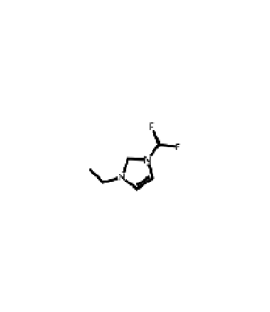 CCN1C=CN(C(F)F)C1